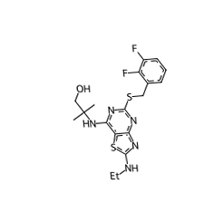 CCNc1nc2nc(SCc3cccc(F)c3F)nc(NC(C)(C)CO)c2s1